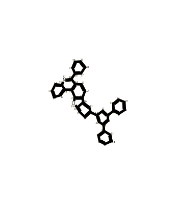 c1ccc(-c2cc(-c3ccccc3)cc(-c3ccc4oc5c(ccc6c(-c7ccccc7)nc7ccccc7c65)c4c3)c2)cc1